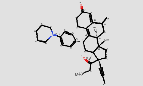 CC#C[C@]1(C(=O)COC)CC[C@H]2[C@@H]3CC(C)C4=CC(=O)CCC4=C3[C@@H](c3ccc(N4CCCCC4)cc3)C[C@@]21C